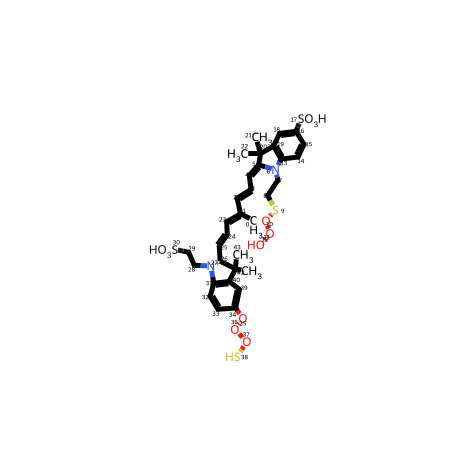 CC(/C=C/C=C1\N(CCSOOO)c2ccc(S(=O)(=O)O)cc2C1(C)C)=C\C=C\C1=[N+](CCS(=O)(=O)O)c2ccc(OOOS)cc2C1(C)C